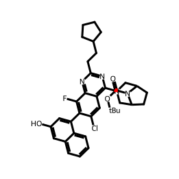 CC(C)(C)OC(=O)N1C2CCC1CN(c1nc(CCC3CCCC3)nc3c(F)c(-c4cc(O)cc5ccccc45)c(Cl)cc13)C2